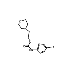 CCc1ccc(NC(=O)OCCN2CCOCC2)cc1